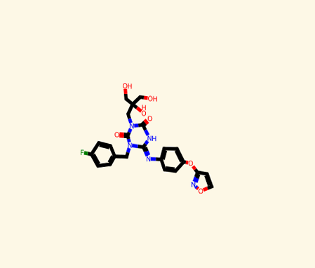 O=c1[nH]/c(=N\c2ccc(Oc3ccon3)cc2)n(Cc2ccc(F)cc2)c(=O)n1CC(O)(CO)CO